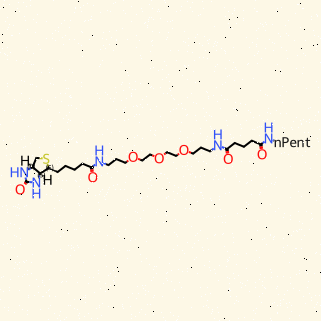 CCCCCNC(=O)CCCC(=O)NCCCOCCOCCOCCCNC(=O)CCCC[C@@H]1SC[C@@H]2NC(=O)N[C@@H]21